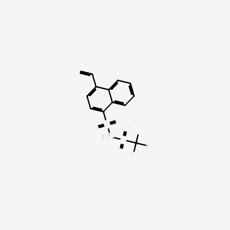 C=Cc1ccc(S(=O)(=O)NS(=O)(=O)C(F)(F)F)c2ccccc12